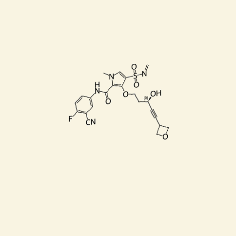 C=NS(=O)(=O)c1cn(C)c(C(=O)Nc2ccc(F)c(C#N)c2)c1OCC[C@@H](O)C#CC1COC1